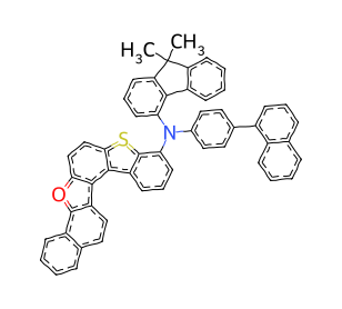 CC1(C)c2ccccc2-c2c(N(c3ccc(-c4cccc5ccccc45)cc3)c3cccc4c3sc3ccc5oc6c7ccccc7ccc6c5c34)cccc21